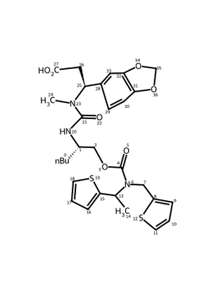 CCCC[C@@H](COC(=O)N(Cc1cccs1)C(C)c1cccs1)NC(=O)N(C)[C@@H](CC(=O)O)c1ccc2c(c1)OCO2